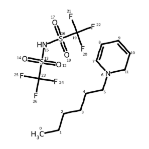 CCCCCCN1C=CC=CC1.O=S(=O)(NS(=O)(=O)C(F)(F)F)C(F)(F)F